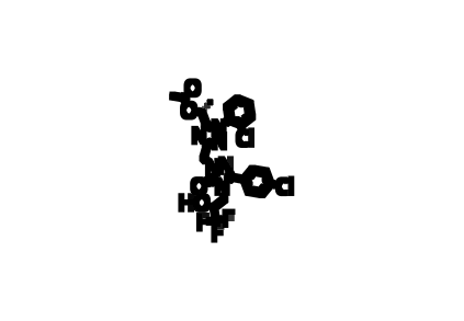 CC(=O)O[C@H](C)c1nc(Cn2nc(-c3ccc(Cl)cc3)n(C[C@@H](O)C(F)(F)F)c2=O)nn1-c1ccccc1Cl